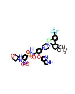 CC1(C)CCC(CN2CCN(c3ccc(C(=O)NS(=O)(=O)c4ccc(NC5CCOCC5)c([N+](=O)[O-])c4)c(Oc4cnc5[nH]ccc5c4)c3)CC2)=C(c2ccc(C(F)(F)F)cc2Cl)C1